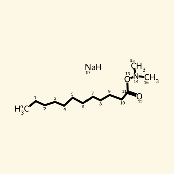 CCCCCCCCCCCC(=O)ON(C)C.[NaH]